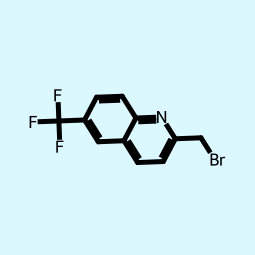 FC(F)(F)c1ccc2nc(CBr)ccc2c1